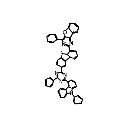 C1=CC2c3cc(-c4nc(-c5ccccc5)nc(-c5cccc6c5c5ccccc5n6-c5ccccc5)n4)ccc3SC2C(c2nc(-c3ccccc3)c3oc4ccccc4c3n2)=C1